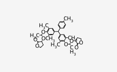 Cc1ccc(C(c2cc(C)c(OC(C)OC3CCOC3=O)c(C)c2)c2cc(C)c(OC(C)OC3CCOC3=O)c(C)c2)cc1